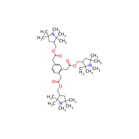 CN1C(C)(C)CC(COC(=O)Cc2ccc(CC(=O)OCC3CC(C)(C)N(C)C3(C)C)c(CC(=O)OCC3CC(C)(C)N(C)C3(C)C)c2)C1(C)C